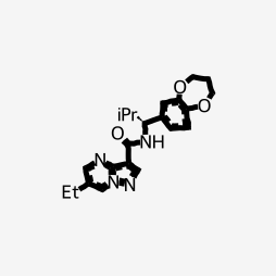 CCc1cnc2c(C(=O)N[C@@H](c3ccc4c(c3)OCCCO4)C(C)C)cnn2c1